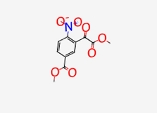 COC(=O)C(=O)c1cc(C(=O)OC)ccc1[N+](=O)[O-]